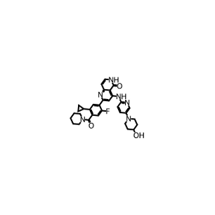 O=C(c1cc(F)c(-c2cc(Nc3ccc(N4CCC(O)CC4)cn3)c3c(=O)[nH]ccc3n2)cc1C1CC1)N1CCCCC1